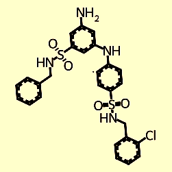 Nc1cc(Nc2[c]cc(S(=O)(=O)NCc3ccccc3Cl)cc2)cc(S(=O)(=O)NCc2ccccc2)c1